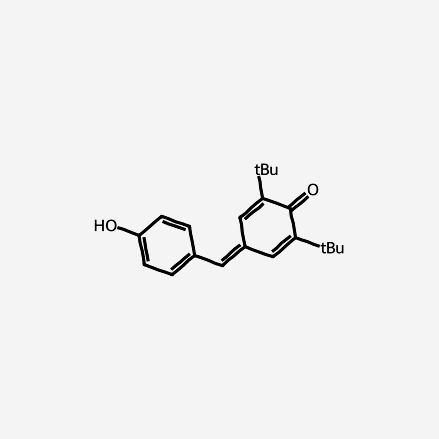 CC(C)(C)C1=CC(=Cc2ccc(O)cc2)C=C(C(C)(C)C)C1=O